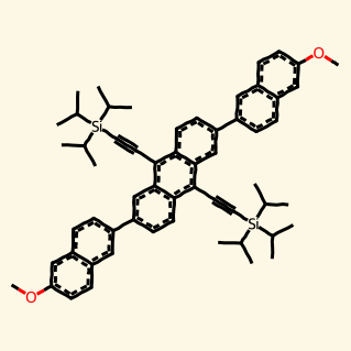 COc1ccc2cc(-c3ccc4c(C#C[Si](C(C)C)(C(C)C)C(C)C)c5cc(-c6ccc7cc(OC)ccc7c6)ccc5c(C#C[Si](C(C)C)(C(C)C)C(C)C)c4c3)ccc2c1